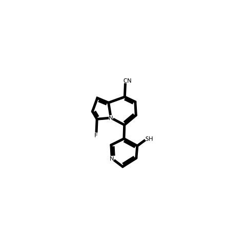 N#Cc1ccc(-c2cnccc2S)n2c(F)ccc12